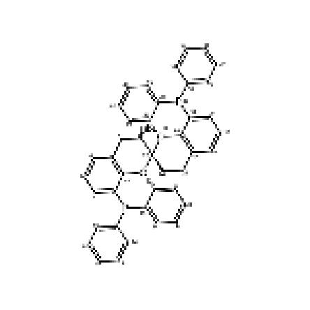 CCCC[C@@H]1Cc2cccc(P(c3ccccc3)c3ccccc3)c2O[C@]12CCc1cccc(P(c3ccccc3)c3ccccc3)c1O2